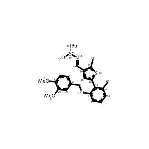 COc1ccc(COc2cccc(C)c2-c2cc(C=N[S@+]([O-])C(C)(C)C)c(C)s2)cc1OC